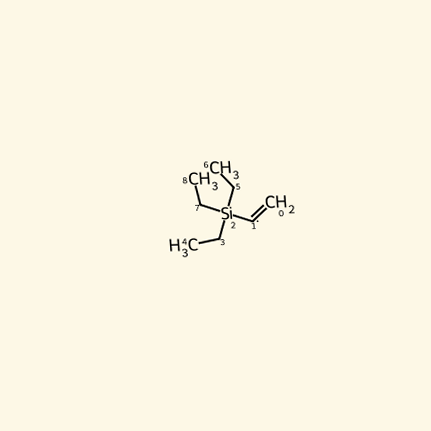 C=[C][Si](CC)(CC)CC